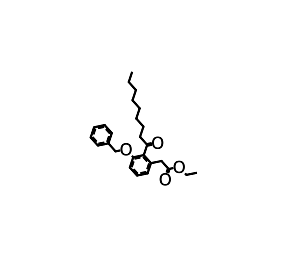 CCCCCCCCC(=O)c1c(CC(=O)OCC)cccc1OCc1ccccc1